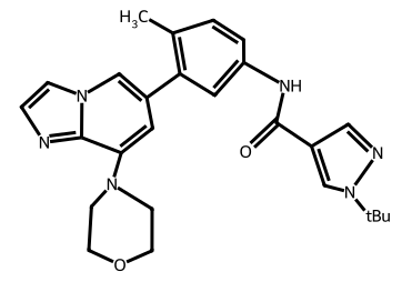 Cc1ccc(NC(=O)c2cnn(C(C)(C)C)c2)cc1-c1cc(N2CCOCC2)c2nccn2c1